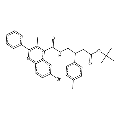 Cc1ccc(C(CNC(=O)c2c(C)c(-c3ccccc3)nc3ccc(Br)cc23)CC(=O)OC(C)(C)C)cc1